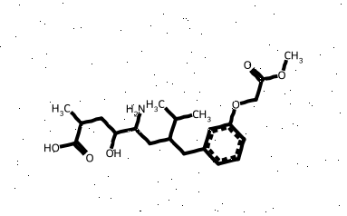 COC(=O)COc1cccc(CC(CC(N)C(O)CC(C)C(=O)O)C(C)C)c1